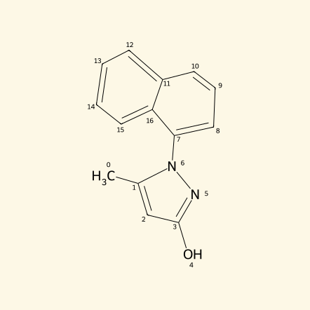 Cc1cc(O)nn1-c1cccc2ccccc12